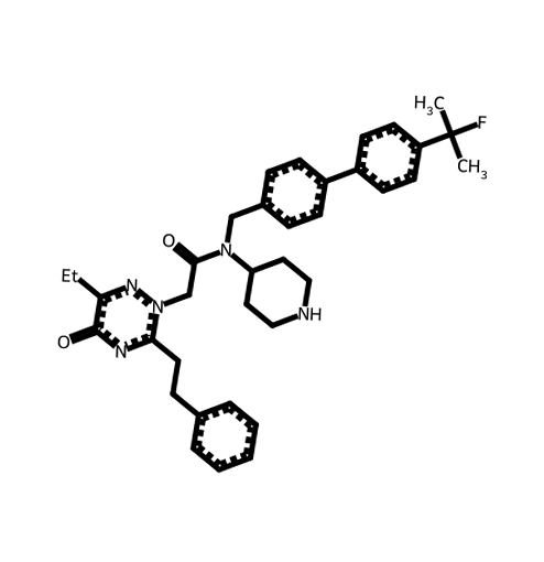 CCc1nn(CC(=O)N(Cc2ccc(-c3ccc(C(C)(C)F)cc3)cc2)C2CCNCC2)c(CCc2ccccc2)nc1=O